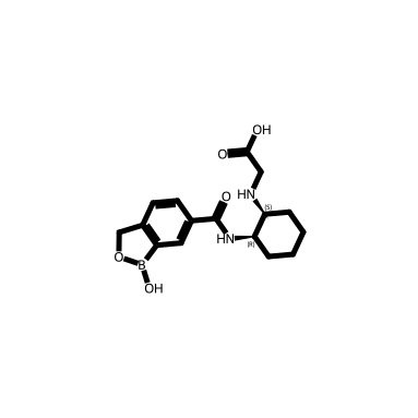 O=C(O)CN[C@H]1CCCC[C@H]1NC(=O)c1ccc2c(c1)B(O)OC2